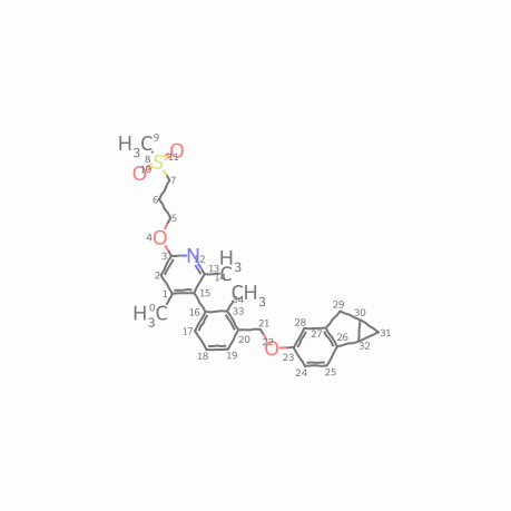 Cc1cc(OCCCS(C)(=O)=O)nc(C)c1-c1cccc(COc2ccc3c(c2)CC2CC32)c1C